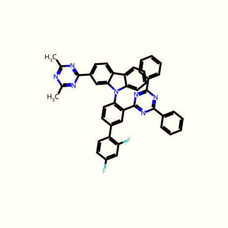 Cc1nc(C)nc(-c2ccc3c4ccccc4n(-c4ccc(-c5ccc(F)cc5F)cc4-c4nc(-c5ccccc5)nc(-c5ccccc5)n4)c3c2)n1